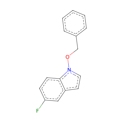 Fc1ccc2c(ccn2OCc2ccccc2)c1